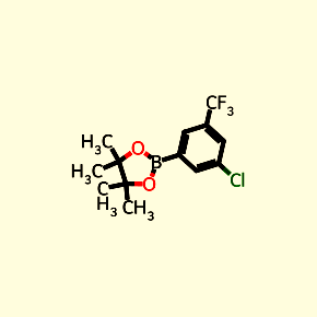 CC1(C)OB(c2cc(Cl)cc(C(F)(F)F)c2)OC1(C)C